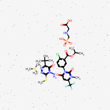 CC(C)OC(=O)c1cc(-n2c(=O)cc(C(F)(F)F)n(C)c2=O)ccc1Cl.CSc1nnc(C(C)(C)C)c(=O)n1N.C[S+](C)C.O=C(O)CNCP(=O)([O-])O